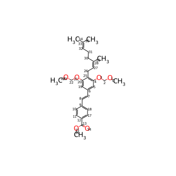 COCOc1cc(C=Cc2ccc(C(=O)OC)cc2)cc(OCOC)c1CC=C(C)CCC=C(C)C